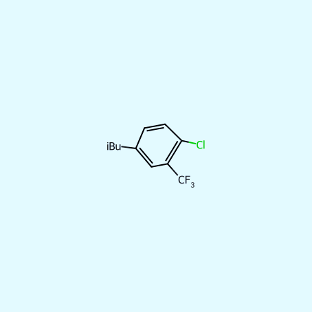 CCC(C)c1ccc(Cl)c(C(F)(F)F)c1